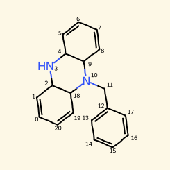 C1=CC2NC3C=CC=CC3N(Cc3ccccc3)C2C=C1